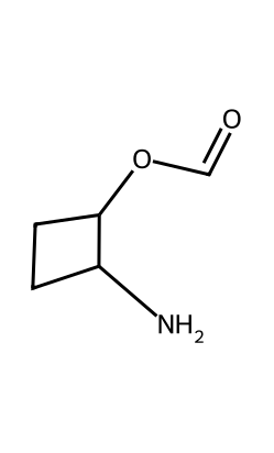 NC1CCC1OC=O